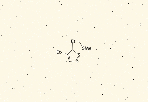 CCC1=CSSC1CC.CSC